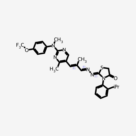 CC(/C=N/N=C1\SCC(=O)N1c1ccccc1C(C)C)=C\c1cnc(N(C)c2ccc(OC(F)(F)F)cc2)nc1C